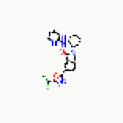 O=C1c2cc(-c3nnc(C(F)F)o3)ccc2CN1[C@@H]1CCCC[C@H]1Nc1ccccn1